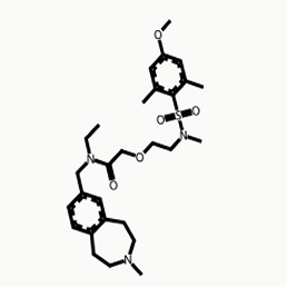 CCN(Cc1ccc2c(c1)CCN(C)CC2)C(=O)COCCN(C)S(=O)(=O)c1c(C)cc(OC)cc1C